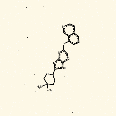 CC1(N)CCN(c2nc3nc(Sc4cccc5ccncc45)cnc3[nH]2)CC1